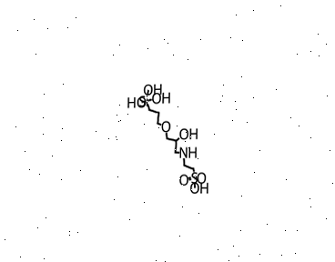 O=S(=O)(O)CCNCC(O)COCCC[Si](O)(O)O